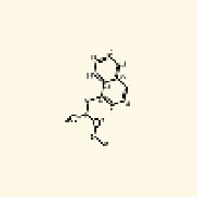 CCOC([O])Cc1cccc2ccccc12